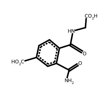 NC(=O)c1cc(C(=O)O)ccc1C(=O)NCC(=O)O